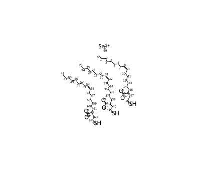 CCCCCCCC/C=C\CCCCCCC(CCS)C(=O)[O-].CCCCCCCC/C=C\CCCCCCC(CCS)C(=O)[O-].CCCCCCCC/C=C\CCCCCCC(CCS)C(=O)[O-].[CH3][Sn+3]